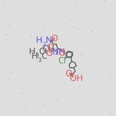 CC(C)(C)OC(=O)NC(CCC(N)=O)COc1cccc(C2CCC(CC(=O)O)CC2)c1Cl